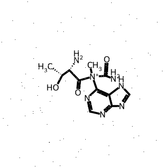 C[C@@H](O)[C@H](N)C(=O)[N+](C)(C(N)=O)c1n[c]nc2nc[nH]c12